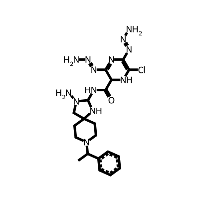 CC(c1ccccc1)N1CCC2(CC1)CN(N)C(NC(=O)C1NC(Cl)=C(N=NN)N=C1N=NN)N2